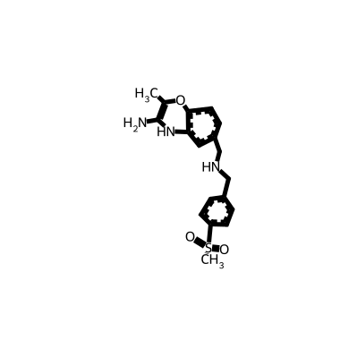 CC1=C(N)Nc2cc(CNCc3ccc(S(C)(=O)=O)cc3)ccc2O1